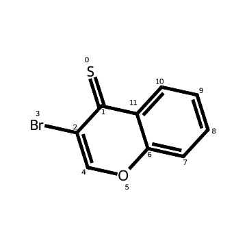 S=c1c(Br)coc2ccccc12